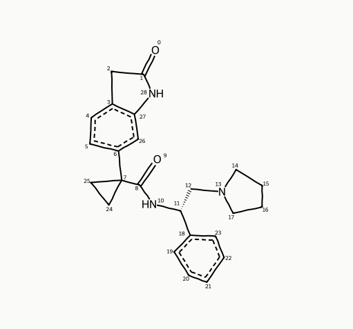 O=C1Cc2ccc(C3(C(=O)N[C@H](CN4CCCC4)c4ccccc4)CC3)cc2N1